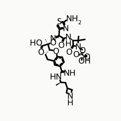 C[C@H](CC1CNC1)NC(=N)c1ccc2c(c1)CC[C@H]([C@](C)(O/N=C(\C(=O)N[C@@H]1C(=O)N(OS(=O)(=O)O)C1(C)C)c1csc(N)n1)C(=O)O)O2